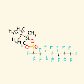 CC(C)(C)[Si](C)(C)OS(=O)(=O)C(F)(F)C(F)(F)C(F)(F)C(F)(F)C(F)(F)C(F)(F)C(F)(F)F